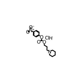 Cl.O=C(OCCCN1CCCCC1)Oc1ccc([N+](=O)[O-])cc1